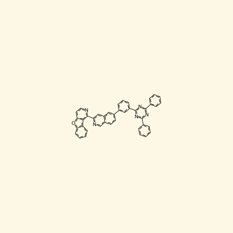 c1ccc(-c2nc(-c3ccccc3)nc(-c3cccc(-c4ccc5cnc(-c6nccc7oc8ccccc8c67)cc5c4)c3)n2)cc1